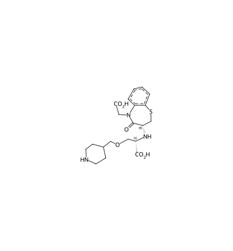 O=C(O)CN1C(=O)[C@@H](N[C@@H](COCC2CCNCC2)C(=O)O)CSc2ccccc21